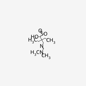 CCC(CC)(CN=CN(C)C)C(O)=S(=O)=O